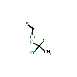 CC(F)(Cl)Cl.F[CH]Cl